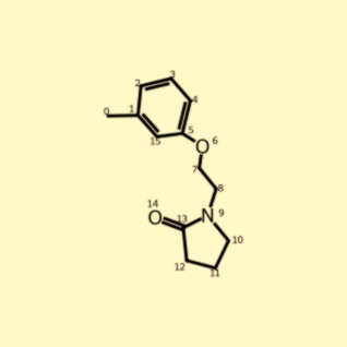 Cc1cccc(OCCN2CCCC2=O)c1